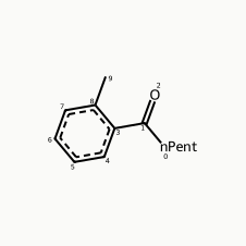 [CH2]CCCCC(=O)c1ccccc1C